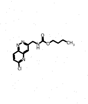 CCCCOC(=O)NCc1cc2nc(Cl)ccc2nn1